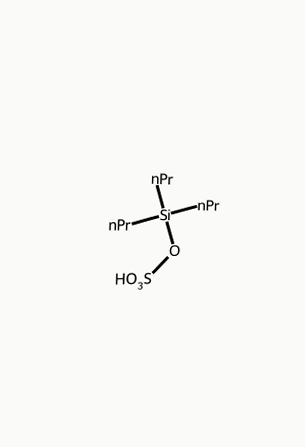 CCC[Si](CCC)(CCC)OS(=O)(=O)O